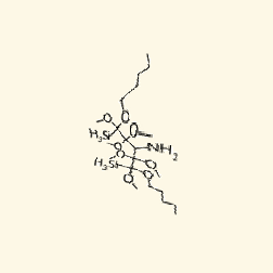 CCCCCOC([SiH3])(OC)C(OC)(OC)C(N)C(OC)(OC)C([SiH3])(OC)OCCCCC